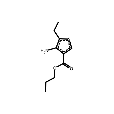 CCCOC(=O)c1csc(CC)c1N